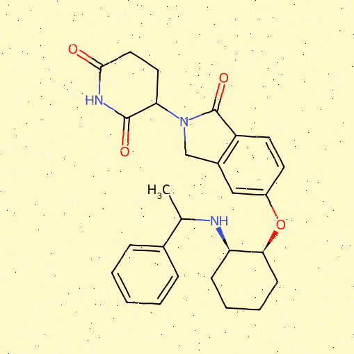 CC(N[C@@H]1CCCC[C@@H]1Oc1ccc2c(c1)CN(C1CCC(=O)NC1=O)C2=O)c1ccccc1